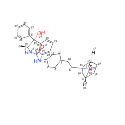 C[C@H](NC(=O)NC1CCC(CCN2C[C@H]3CC[C@@H](CC3)C2)CC1)C(O)(c1ccccc1)c1ccccc1